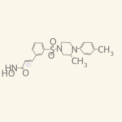 Cc1ccc(N2CCN(S(=O)(=O)c3cccc(/C=C/C(=O)NO)c3)CC2C)cc1